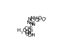 CC(C)(C)C1C2CC(n3nc(-c4ccc(Oc5ccccc5)cc4)c4c(N)ncnc43)CC2CN1C(=O)O